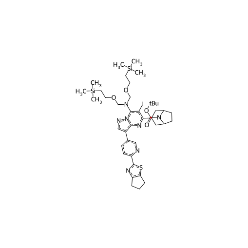 CC(C)(C)OC(=O)N1C2CCC1CC(c1nc3c(-c4ccc(-c5nc6c(s5)CCC6)nc4)cnn3c(N(COCC[Si](C)(C)C)COCC[Si](C)(C)C)c1I)C2